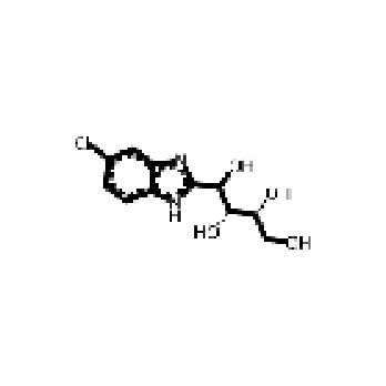 OC[C@@H](O)[C@H](O)C(O)c1nc2cc(Cl)ccc2[nH]1